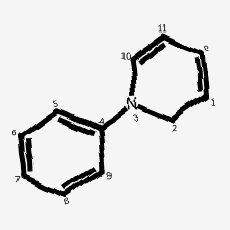 C1=CCN(c2ccccc2)C=C1